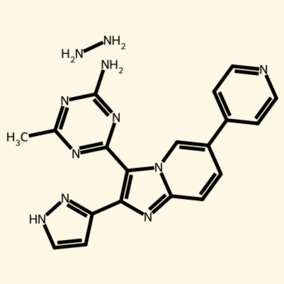 Cc1nc(N)nc(-c2c(-c3cc[nH]n3)nc3ccc(-c4ccncc4)cn23)n1.NN